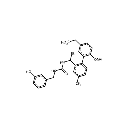 CCC(NC(=O)NCc1cccc(O)c1)c1cc(C(F)(F)F)ccc1-c1cc(CC(=O)O)ccc1OC